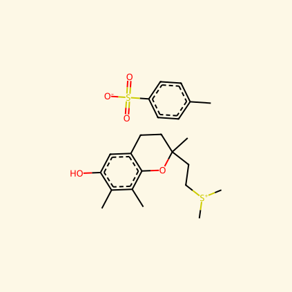 Cc1c(O)cc2c(c1C)OC(C)(CC[S+](C)C)CC2.Cc1ccc(S(=O)(=O)[O-])cc1